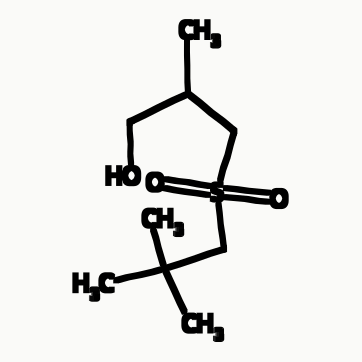 CC(CO)CS(=O)(=O)CC(C)(C)C